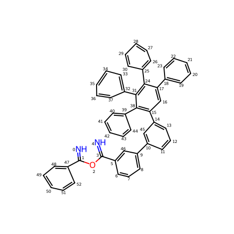 N=C(OC(=N)c1cccc(-c2cccc(-c3cc(-c4ccccc4)c(-c4ccccc4)c(-c4ccccc4)c3-c3ccccc3)c2)c1)c1ccccc1